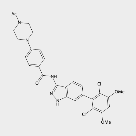 COc1cc(OC)c(Cl)c(-c2ccc3c(NC(=O)c4ccc(N5CCN(C(C)=O)CC5)cc4)n[nH]c3c2)c1Cl